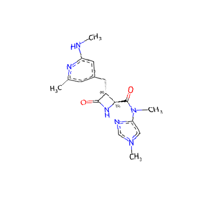 CNc1cc(C[C@H]2C(=O)N[C@@H]2C(=O)N(C)c2cn(C)cn2)cc(C)n1